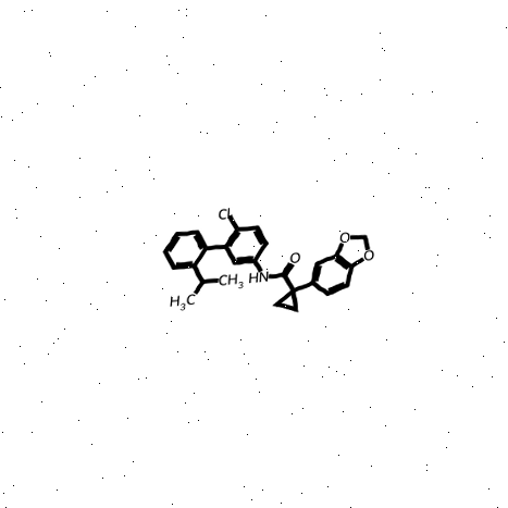 CC(C)c1ccccc1-c1cc(NC(=O)C2(c3ccc4c(c3)OCO4)CC2)ccc1Cl